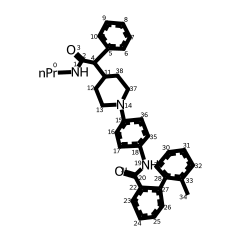 CCCNC(=O)C(c1ccccc1)C1CCN(c2ccc(NC(=O)c3ccccc3-c3ccccc3C)cc2)CC1